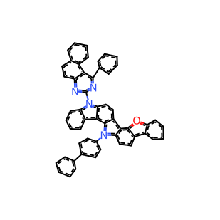 c1ccc(-c2ccc(-n3c4ccc5c6ccccc6oc5c4c4ccc5c(c6ccccc6n5-c5nc(-c6ccccc6)c6c(ccc7ccccc76)n5)c43)cc2)cc1